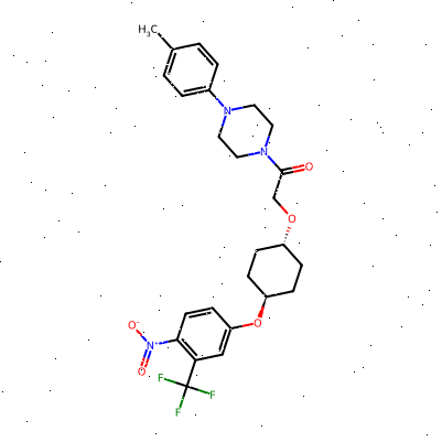 Cc1ccc(N2CCN(C(=O)CO[C@H]3CC[C@H](Oc4ccc([N+](=O)[O-])c(C(F)(F)F)c4)CC3)CC2)cc1